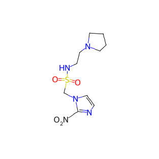 O=[N+]([O-])c1nccn1CS(=O)(=O)NCCN1CCCC1